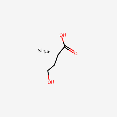 O=C(O)CCCO.[Na].[Si]